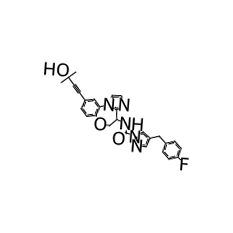 CC(C)(O)C#Cc1ccc2c(c1)-n1ccnc1C(NC(=O)n1cc(Cc3ccc(F)cc3)cn1)CO2